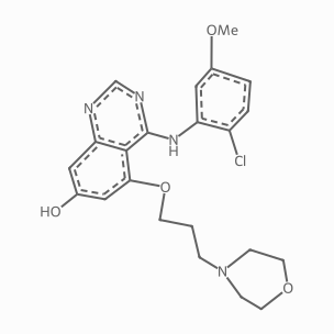 COc1ccc(Cl)c(Nc2ncnc3cc(O)cc(OCCCN4CCOCC4)c23)c1